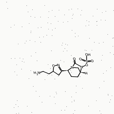 NCCC1CC([C@@H]2CC[C@@H]3CN2C(=O)N3OS(=O)(=O)O)=NO1